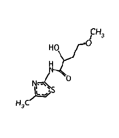 COCCC(O)C(=O)Nc1nc(C)cs1